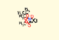 COC(=O)[C@@H]1CC2(CC=CC2)C(=O)N1C(=O)OC(C)(C)C